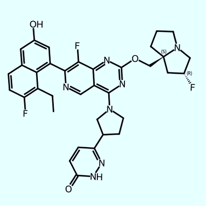 CCc1c(F)ccc2cc(O)cc(-c3ncc4c(N5CCC(c6ccc(=O)[nH]n6)C5)nc(OC[C@@]56CCCN5C[C@H](F)C6)nc4c3F)c12